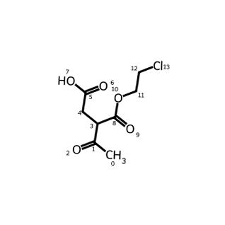 CC(=O)C(CC(=O)O)C(=O)OCCCl